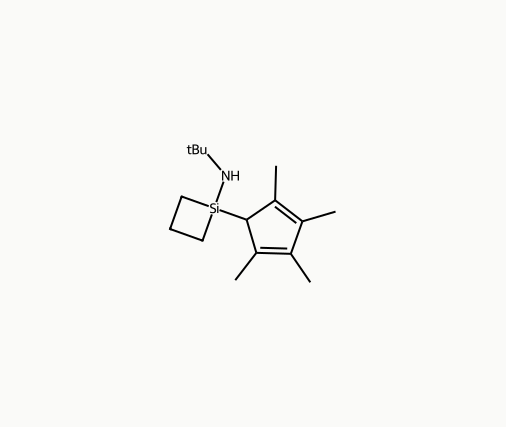 CC1=C(C)C([Si]2(NC(C)(C)C)CCC2)C(C)=C1C